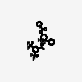 CC(OC[C@@]1(c2ccccc2)CCC(OC(=O)N2CCCC2)CN1)c1cc(C(F)(F)F)cc(C(F)(F)F)c1